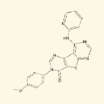 COc1ccc(-n2cnc3c(sc4ncnc(Nc5ccccn5)c43)c2=O)cc1